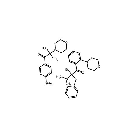 CCC(Cc1ccccc1)(C(=O)c1ccccc1N1CCOCC1)N(C)C.CSc1ccc(C(=O)C(C)(C)N2CCOCC2)cc1